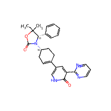 CC1(C)OC(=O)N([C@H]2CC=C(c3c[nH]c(=O)c(-c4ncccn4)c3)CC2)[C@H]1c1ccccc1